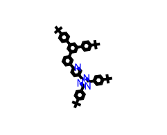 CC(C)(C)c1ccc(-c2cc(-c3ccc(C(C)(C)C)cc3)cc(-c3cccc(-c4ccc(-c5nc(-c6ccc(C(C)(C)C)cc6)nc(-c6ccc(C(C)(C)C)cc6)n5)cn4)c3)c2)cc1